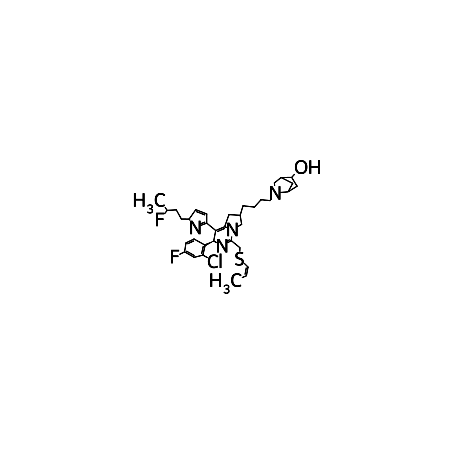 C/C=C\SCC1=N[C@@H](c2ccc(F)cc2Cl)C(C2=NC(CCC(C)F)C=C2)=C2CC(CCCCN3CC4CC3CC4O)CN12